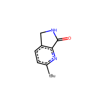 CC(C)(C)c1ccc2c(n1)C(=O)NC2